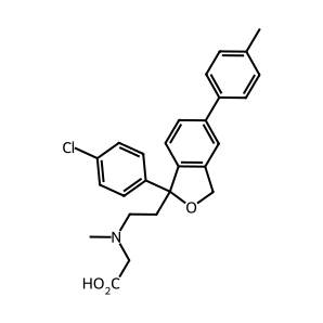 Cc1ccc(-c2ccc3c(c2)COC3(CCN(C)CC(=O)O)c2ccc(Cl)cc2)cc1